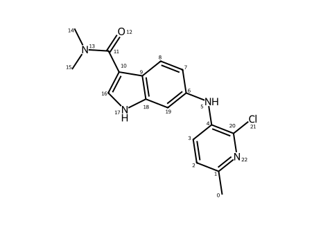 Cc1ccc(Nc2ccc3c(C(=O)N(C)C)c[nH]c3c2)c(Cl)n1